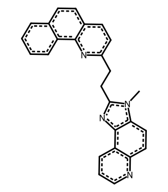 Cn1c(CCc2ccc3ccc4ccccc4c3n2)nc2c3cccnc3ccc21